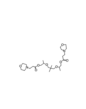 CC(COC(=O)CCN1CCOCC1)OCC(C)(C)COC(C)COC(=O)CCN1CCOCC1